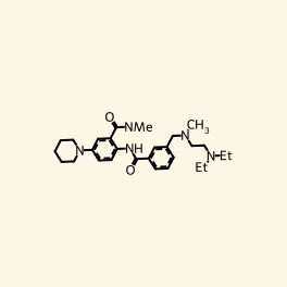 CCN(CC)CCN(C)Cc1cccc(C(=O)Nc2ccc(N3CCCCC3)cc2C(=O)NC)c1